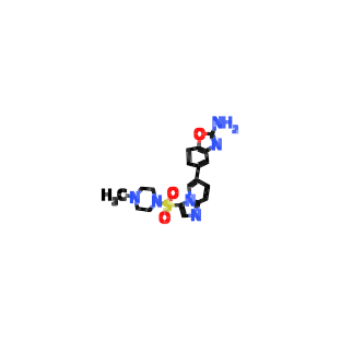 CN1CCN(S(=O)(=O)c2cnc3ccc(-c4ccc5oc(N)nc5c4)cn23)CC1